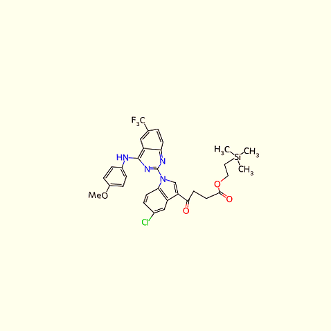 COc1ccc(Nc2nc(-n3cc(C(=O)CCC(=O)OCC[Si](C)(C)C)c4cc(Cl)ccc43)nc3ccc(C(F)(F)F)cc23)cc1